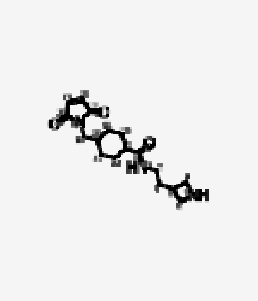 O=C(NCCC1CNC1)C1CCC(CN2C(=O)C=CC2=O)CC1